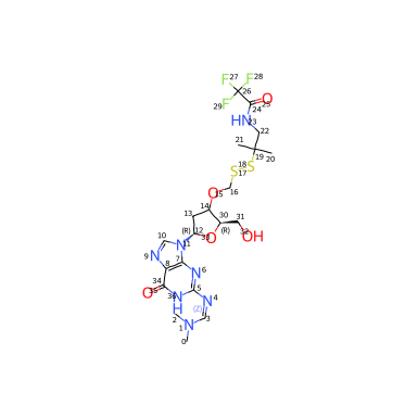 CN(C)/C=N\c1nc2c(ncn2[C@H]2CC(OCSSC(C)(C)CNC(=O)C(F)(F)F)[C@@H](CO)O2)c(=O)[nH]1